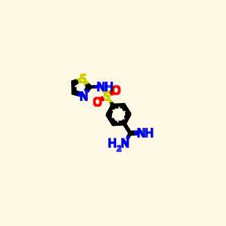 N=C(N)c1ccc(S(=O)(=O)Nc2nccs2)cc1